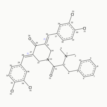 CN(C)C(Cc1ccccc1)C(=O)N1C/C(=C\c2ccc(Cl)c(Cl)c2)C(=O)/C(=C/c2ccc(Cl)c(Cl)c2)C1